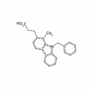 Cc1c(CCC(=O)O)ccc2c3ccccc3n(Cc3ccccc3)c12